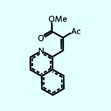 COC(=O)C(=Cc1nccc2ccccc12)C(C)=O